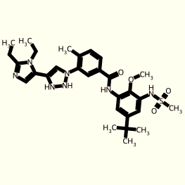 CCc1ncc(C2=CN(c3cc(C(=O)Nc4cc(C(C)(C)C)cc(NS(C)(=O)=O)c4OC)ccc3C)NN2)n1CC